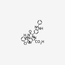 NC(=O)C(c1ccc2[nH]c(-c3ccccc3)nc2c1)n1nc(C(=O)O)c(Br)c1NC(=O)c1ccccc1Cl